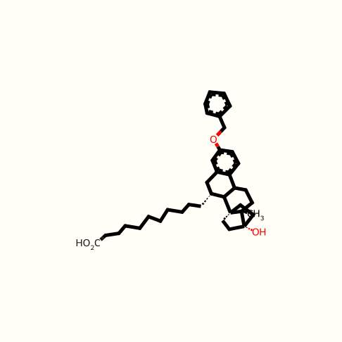 C[C@]12CCC3c4ccc(OCc5ccccc5)cc4C[C@@H](CCCCCCCCCCC(=O)O)C3[C@]13CC[C@]2(O)CC3